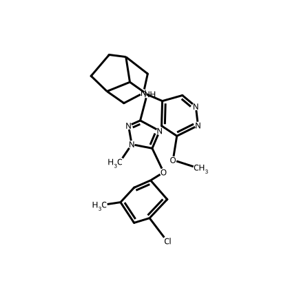 COc1cc(N2CC3CCC(C2)C3Nc2nc(Oc3cc(C)cc(Cl)c3)n(C)n2)cnn1